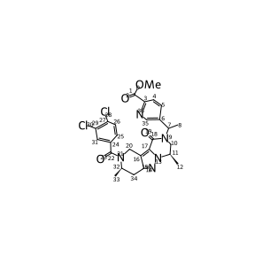 COC(=O)c1ccc(C(C)N2C[C@@H](C)n3nc4c(c3C2=O)CN(C(=O)c2ccc(Cl)c(Cl)c2)[C@H](C)C4)cn1